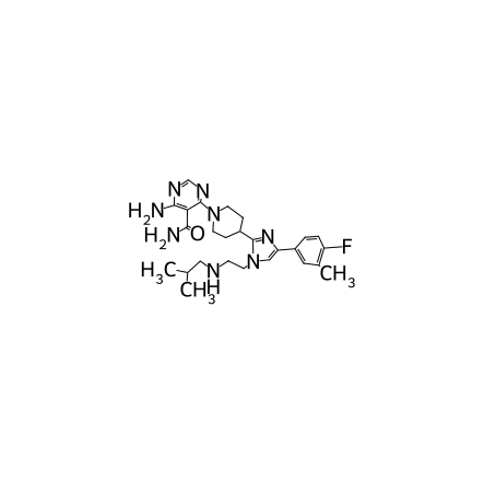 Cc1cc(-c2cn(CCNCC(C)C)c(C3CCN(c4ncnc(N)c4C(N)=O)CC3)n2)ccc1F